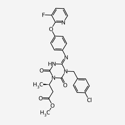 COC(=O)C[C@@H](C)n1c(=O)[nH]/c(=N\c2ccc(Oc3ncccc3F)cc2)n(Cc2ccc(Cl)cc2)c1=O